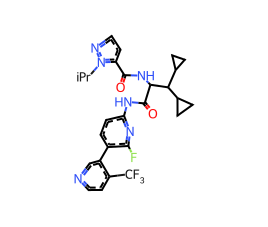 CC(C)n1nccc1C(=O)NC(C(=O)Nc1ccc(-c2cnccc2C(F)(F)F)c(F)n1)C(C1CC1)C1CC1